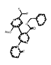 COc1cnc(C(F)F)cc1-c1cc(-n2ccccc2=O)ncc1C(=O)OCc1ccccc1